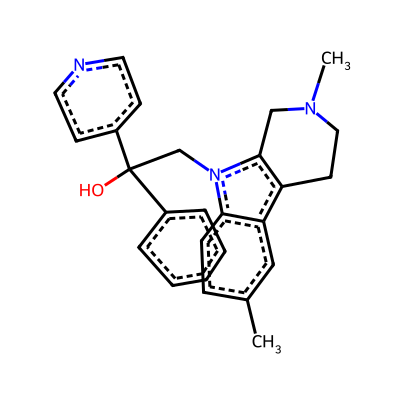 Cc1ccc2c(c1)c1c(n2CC(O)(c2ccccc2)c2ccncc2)CN(C)CC1